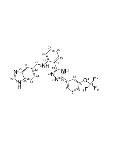 FC(F)(F)Oc1cccc(-c2nnc(-c3ccccc3NCc3ccc4[nH]cnc4c3)[nH]2)c1